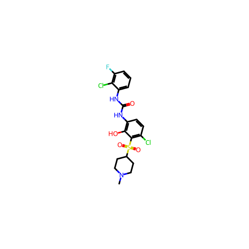 CN1CCC(S(=O)(=O)c2c(Cl)ccc(NC(=O)Nc3cccc(F)c3Cl)c2O)CC1